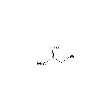 CCCC[SiH](OC)OC